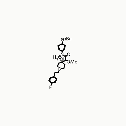 CCCCOc1ccc(N(C)C(=O)C(OC)C2(O)CCN(CCc3ccc(F)cc3)CC2)cc1